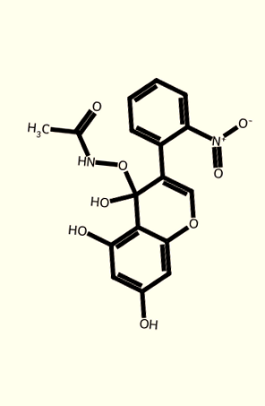 CC(=O)NOC1(O)C(c2ccccc2[N+](=O)[O-])=COc2cc(O)cc(O)c21